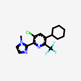 Cn1ccnc1-c1nc(C(F)(F)F)c(C2CCCCC2)cc1Cl